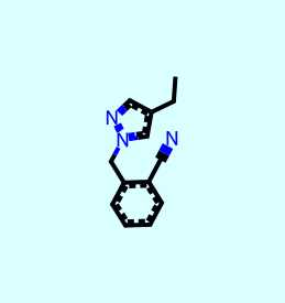 CCc1cnn(Cc2ccccc2C#N)c1